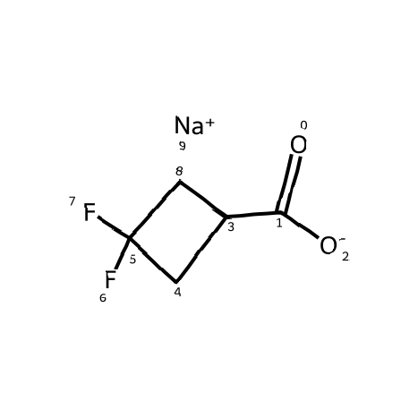 O=C([O-])C1CC(F)(F)C1.[Na+]